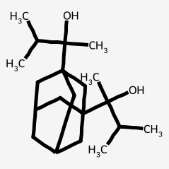 CC(C)C(C)(O)C12CC3CC(C1)CC(C(C)(O)C(C)C)(C3)C2